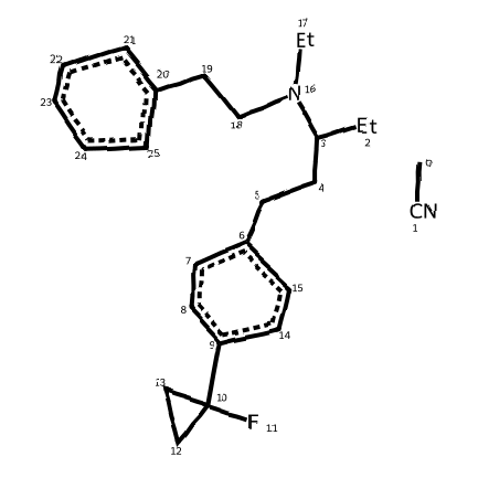 CC#N.CCC(CCc1ccc(C2(F)CC2)cc1)N(CC)CCc1ccccc1